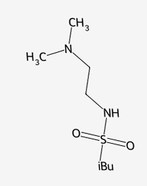 CCC(C)S(=O)(=O)NCCN(C)C